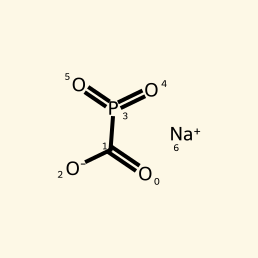 O=C([O-])P(=O)=O.[Na+]